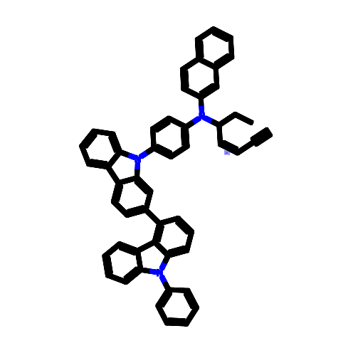 C#C/C=C\C(CC)N(c1ccc(-n2c3ccccc3c3ccc(-c4cccc5c4c4ccccc4n5-c4ccccc4)cc32)cc1)c1ccc2ccccc2c1